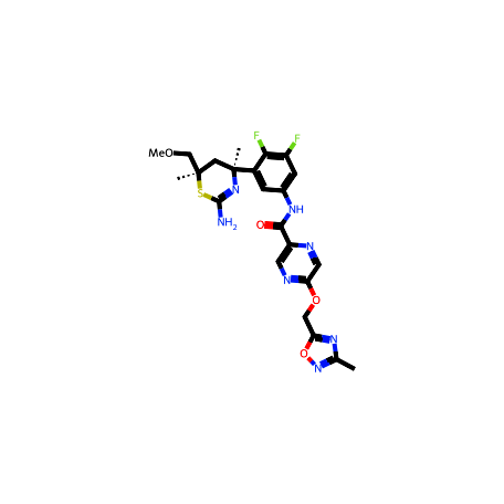 COC[C@@]1(C)C[C@@](C)(c2cc(NC(=O)c3cnc(OCc4nc(C)no4)cn3)cc(F)c2F)N=C(N)S1